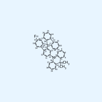 CC1(C)c2ccccc2N(c2ccc3c(c2)C2(c4ccccc4-c4ccccc42)c2cc(F)ccc2-3)c2ccccc21